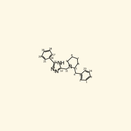 c1ccc(CC2CCCCN2Cc2nnc(-c3ccccc3)[nH]2)cc1